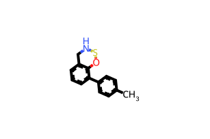 Cc1ccc(-c2cccc3c2OSNC3)cc1